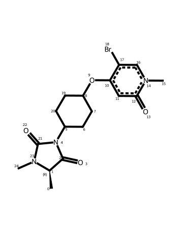 C[C@@H]1C(=O)N(C2CCC(Oc3cc(=O)n(C)cc3Br)CC2)C(=O)N1C